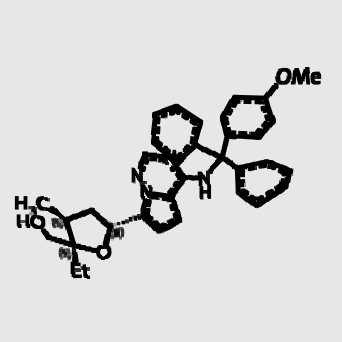 CC[C@]1(CO)O[C@@H](c2ccc3c(NC(c4ccccc4)(c4ccccc4)c4ccc(OC)cc4)ncnn23)C[C@@H]1C